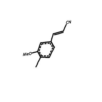 COc1cc(/C=C/C#N)ccc1C